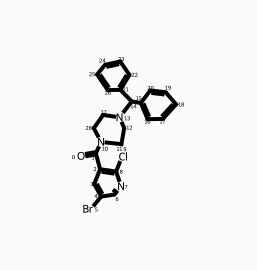 O=C(c1cc(Br)cnc1Cl)N1CCN(C(c2ccccc2)c2ccccc2)CC1